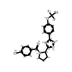 CCC(F)(F)Oc1ccc(-c2noc(C3CCCN3C(=O)c3ccc(Cl)cc3)n2)cc1